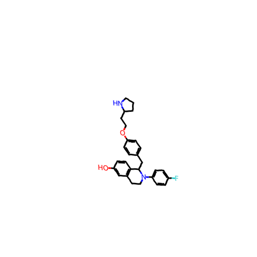 Oc1ccc2c(c1)CCN(c1ccc(F)cc1)C2Cc1ccc(OCCC2CCCN2)cc1